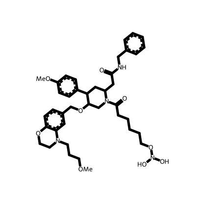 COCCCN1CCOc2ccc(COC3CN(C(=O)CCCCCON(O)O)C(CC(=O)NCc4ccccc4)CC3c3ccc(OC)cc3)cc21